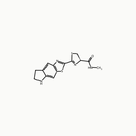 CNC(=O)C1CSC(c2nc3cc4c(cc3s2)NCC4)=N1